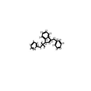 CC(C)(Cc1ccccn1)C1C=C(Cc2ccccc2)c2ccccc21